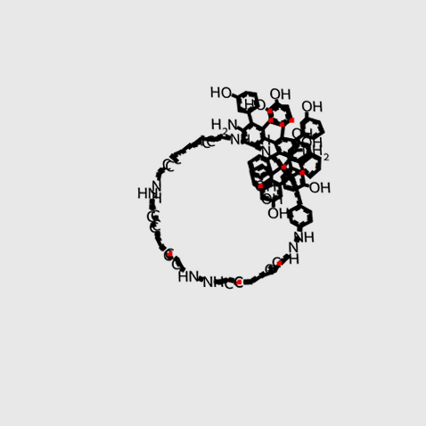 Nc1c(-c2cccc(O)c2)c(-c2cccc(O)c2)c(-c2c(-c3cccc(O)c3)c(-c3cccc(O)c3)c(N)c3[nH]c4ccc(cc4)c4ccc(cc4)[nH][nH]c4ccc(cc4)c4ccc(cc4)[nH][nH]c4ccc(cc4)c4ccc(cc4)[nH][nH]c4ccc(cc4)c4c(-c5cccc(O)c5)c(-c5cccc(O)c5)c([nH]c23)c(-c2cccc(O)c2)c4-c2cccc(O)c2)c(-c2cccc(O)c2)c1-c1cccc(O)c1